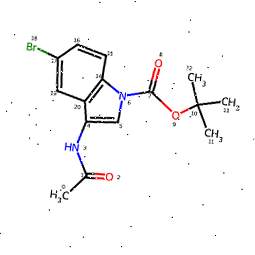 CC(=O)Nc1cn(C(=O)OC(C)(C)C)c2ccc(Br)cc12